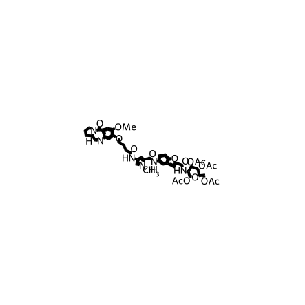 COc1cc2c(cc1OCCCC(=O)Nc1cc(C(=O)Nc3ccc4oc(C(=O)NC5C(OC(C)=O)OC(COC(C)=O)C(OC(C)=O)C5OC(C)=O)cc4c3)n(C)c1)N=C[C@@H]1CCCN1C2=O